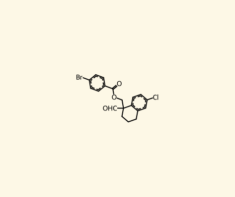 O=CC1(COC(=O)c2ccc(Br)cc2)CCCc2cc(Cl)ccc21